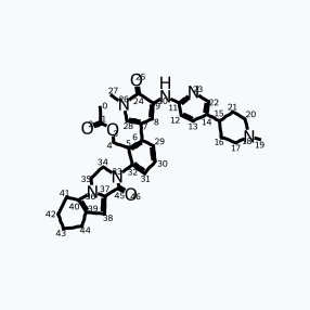 CC(=O)OCc1c(-c2cc(Nc3ccc(C4CCN(C)CC4)cn3)c(=O)n(C)c2)cccc1N1CCn2c(cc3c2CCCC3)C1=O